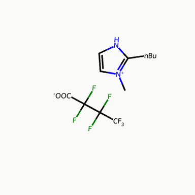 CCCCc1[nH]cc[n+]1C.O=C([O-])C(F)(F)C(F)(F)C(F)(F)F